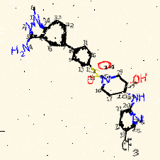 Cn1nc(N)c2cc(-c3ccc(S(=O)(=O)N4CC[C@@H](Nc5ccc(C(F)(F)F)cn5)[C@@H](O)C4)cc3)ccc21